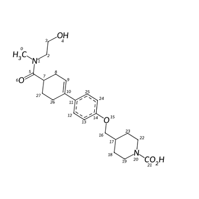 CN(CCO)C(=O)C1CC=C(c2ccc(OCC3CCN(C(=O)O)CC3)cc2)CC1